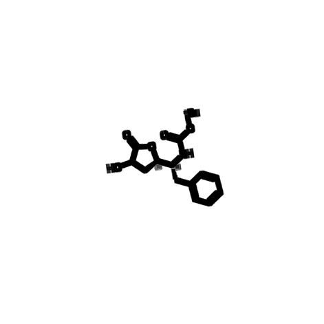 CC(C)(C)OC(=O)N[C@H](Cc1ccccc1)[C@H]1CC(O)C(=O)O1